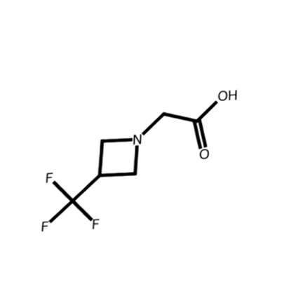 O=C(O)CN1CC(C(F)(F)F)C1